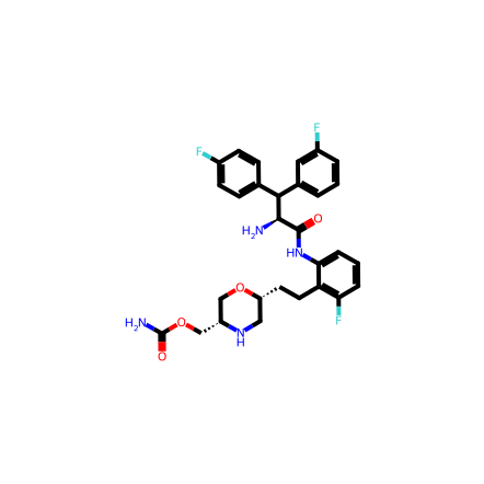 NC(=O)OC[C@@H]1CO[C@H](CCc2c(F)cccc2NC(=O)[C@@H](N)C(c2ccc(F)cc2)c2cccc(F)c2)CN1